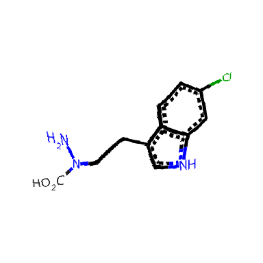 NN(CCc1c[nH]c2cc(Cl)ccc12)C(=O)O